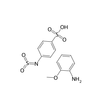 COc1ccccc1N.O=S(=O)=Nc1ccc(S(=O)(=O)O)cc1